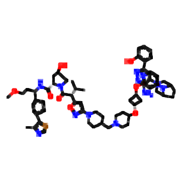 COCC[C@@H](NC(=O)[C@@H]1C[C@@H](O)CN1C(=O)[C@@H](c1cc(N2CCC(CN3CCC(O[C@H]4C[C@H](Oc5cc(N6C7CCC6CN(c6cc(-c8ccccc8O)nnc6N)C7)ccn5)C4)CC3)CC2)no1)C(C)C)c1ccc(-c2scnc2C)cc1